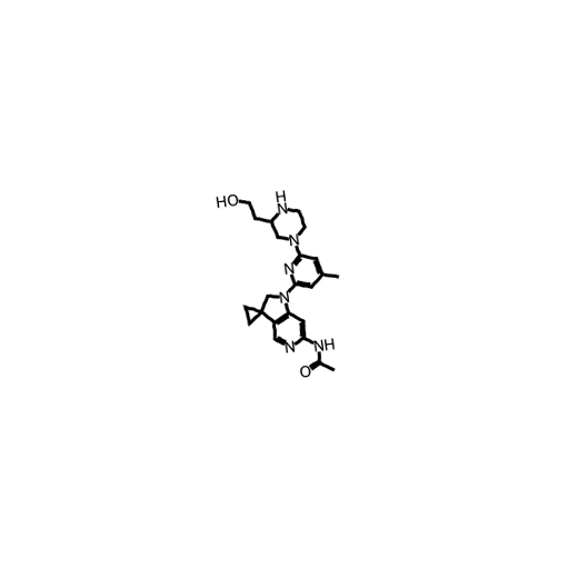 CC(=O)Nc1cc2c(cn1)C1(CC1)CN2c1cc(C)cc(N2CCNC(CCO)C2)n1